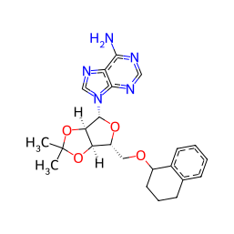 CC1(C)O[C@@H]2[C@H](O1)[C@@H](COC1CCCc3ccccc31)O[C@H]2n1cnc2c(N)ncnc21